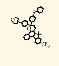 CC1(C)c2cc(C(F)(F)F)ccc2-c2c1c1c(c3ccccc23)OC(c2ccc(Sc3ccccc3)cc2)(c2ccc(N3CCOCC3)cc2)C=C1